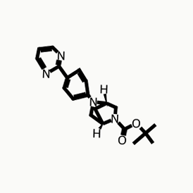 CC(C)(C)OC(=O)N1C[C@@H]2C[C@H]1CN2c1ccc(-c2ncccn2)cc1